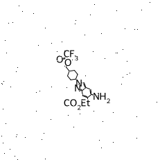 CCOC(=O)c1cc2nn(C3CCC(COC(=O)C(F)(F)F)CC3)cc2cc1N